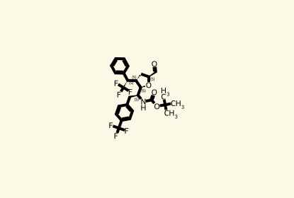 CC(C)(C)OC(=O)N[C@@H](Cc1ccc(C(F)(F)F)cc1)[C@H]1O[C@H](C=O)C[C@H]1[C@@H](c1ccccc1)C(F)(F)F